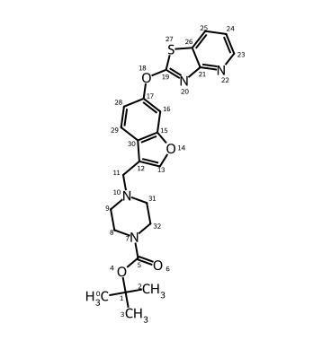 CC(C)(C)OC(=O)N1CCN(Cc2coc3cc(Oc4nc5ncccc5s4)ccc23)CC1